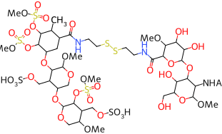 COC1COC(OC2COC(OC)C(OC3CC(C(=O)NCCSSCCNC(=O)C4OC(OC5C(O)C(CO)OC(OC)C5NC(C)=O)C(O)C(O)C4OC)C(C)C(OS(=O)(=O)OC)C3OS(=O)(=O)OC)C2COS(=O)(=O)O)C(OS(=O)(=O)OC)C1COS(=O)(=O)O